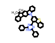 CC1(C)c2ccccc2-c2cc3c(cc21)c1ccccc1n3-c1cc(C2=NC(c3ccccc3)NC(c3ccccc3)=N2)c2c(c1)sc1ccccc12